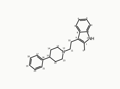 Cc1[nH]c2ccccc2c1CCN1CCC(c2ccccc2)CC1